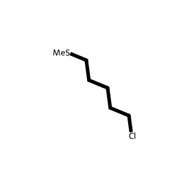 CSCCCCCCl